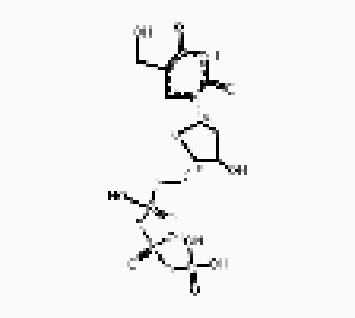 O=c1[nH]c(=O)n([C@@H]2CC(O)[C@H](COP(=O)(O)OP(=O)(O)OP(=O)(O)O)O2)cc1CO